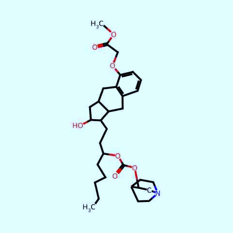 CCCCCC(CCC1C(O)CC2Cc3c(cccc3OCC(=O)OC)CC21)OC(=O)OC1CN2CCC1CC2